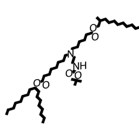 CCCCCCCCCC(C)COC(=O)CCCCCN(CCCCCCCC(=O)OC(CCCCCCCC)CCCCCCCC)CCNC(=O)OC(C)(C)C